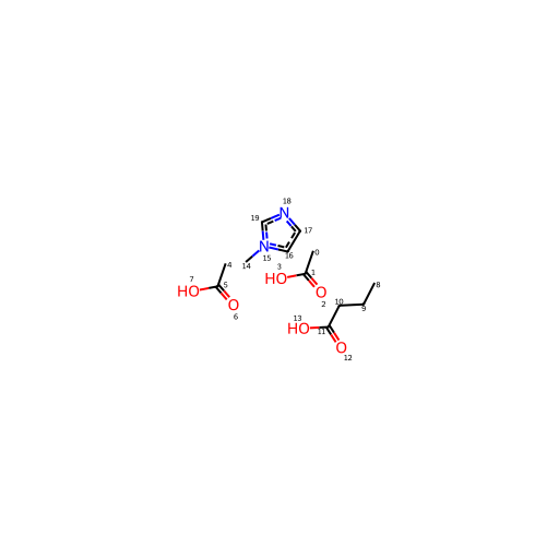 CC(=O)O.CC(=O)O.CCCC(=O)O.Cn1ccnc1